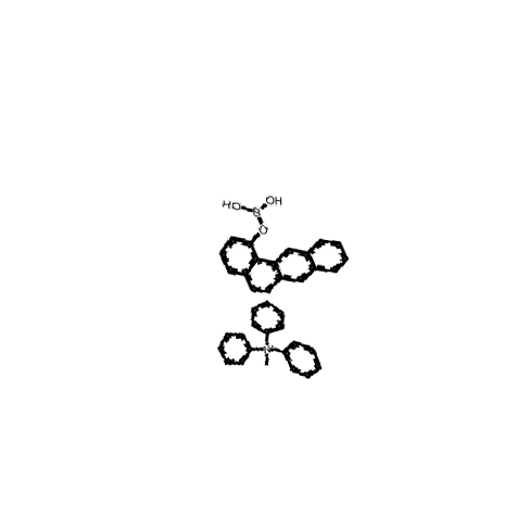 C[N+](c1ccccc1)(c1ccccc1)c1ccccc1.OB(O)Oc1cccc2ccc3cc4ccccc4cc3c12